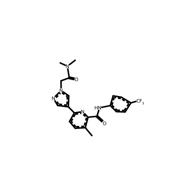 Cc1ccc(-c2cnn(CC(=O)N(C)C)c2)nc1C(=O)Nc1ccc(C(F)(F)F)cc1